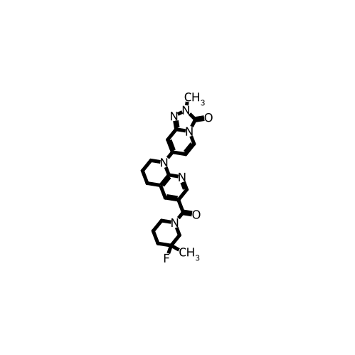 Cn1nc2cc(N3CCCc4cc(C(=O)N5CCCC(C)(F)C5)cnc43)ccn2c1=O